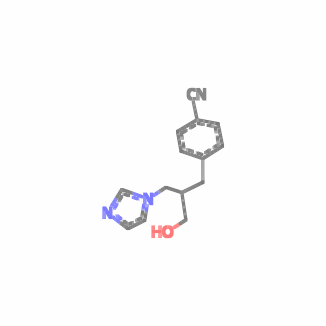 N#Cc1ccc(CC(CO)Cn2ccnc2)cc1